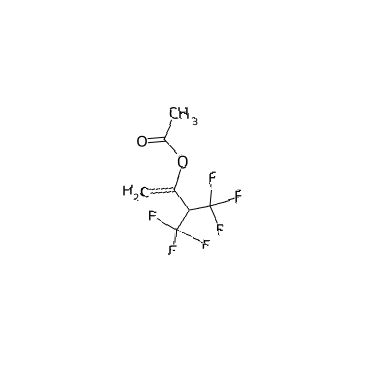 C=C(OC(C)=O)C(C(F)(F)F)C(F)(F)F